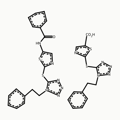 O=C(Nc1cnc(Sc2nnnn2CCc2ccccc2)s1)c1ccccc1.O=C(O)c1cnc(Sc2nnnn2CCc2ccccc2)s1